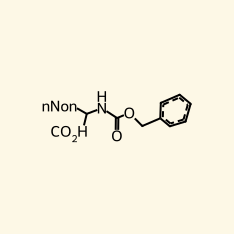 CCCCCCCCCC(NC(=O)OCc1ccccc1)C(=O)O